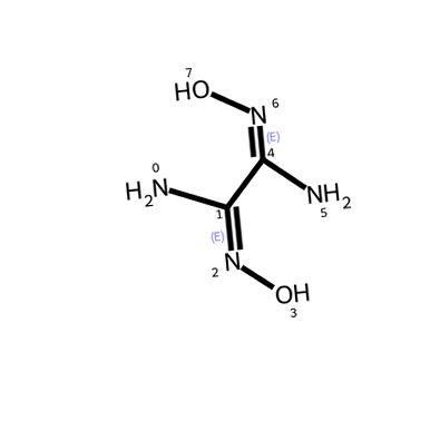 NC(=N/O)/C(N)=N\O